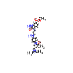 COC(=O)c1ccc2c(c1)NC(=O)/C2=C\CCNc1ccc(N(CCCN(C)C)C(C)=O)cc1